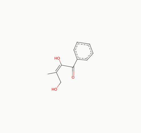 CC(CO)=C(O)C(=O)c1ccccc1